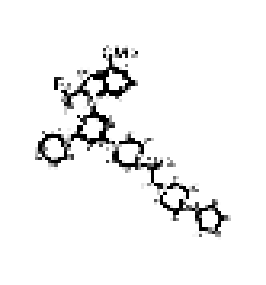 COc1cccc2c1nc(C(F)F)n2-c1nc(N2CCOCC2)cc(N2CCN(C(=O)CN3CCN(C4CCCC4)CC3)CC2)n1